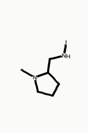 CN1CCCC1CNI